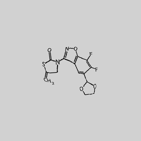 C=C1CN(c2noc3c(F)c(F)c(C4OCCO4)cc23)C(=O)S1